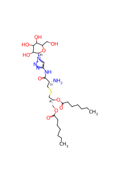 CCCCCCC(=O)OC[C@H](CSC[C@@H](N)C(=O)Nc1cn([C@@H]2OC(CO)C(O)C(O)C2O)nn1)OC(=O)CCCCCC